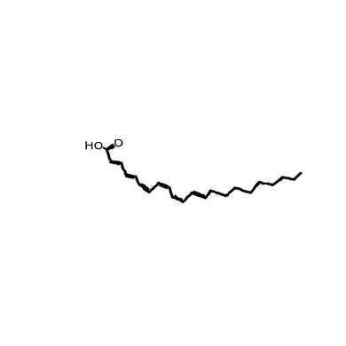 CCCCCCCCC/C=C/C=C\C=C/C=C\C=C\C=C\C(=O)O